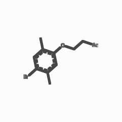 CC(=O)CCOc1cc(C)c(Br)cc1C